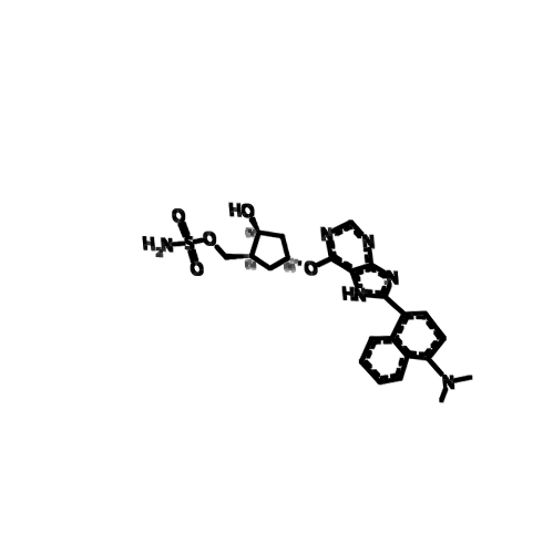 CN(C)c1ccc(-c2nc3ncnc(O[C@@H]4C[C@@H](COS(N)(=O)=O)[C@@H](O)C4)c3[nH]2)c2ccccc12